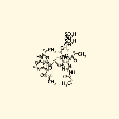 C=CC(=O)Nc1ncc(NC(=O)C=C)c(NC(=O)C=C)n1.C=CC(=O)Nc1ncnc(NC(=O)C=C)c1NC(=O)C=C.O=S(=O)(O)O.O=S(=O)(O)O